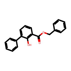 O=C(OCc1ccccc1)c1cccc(-c2ccccc2)c1O